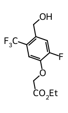 CCOC(=O)COc1cc(C(F)(F)F)c(CO)cc1F